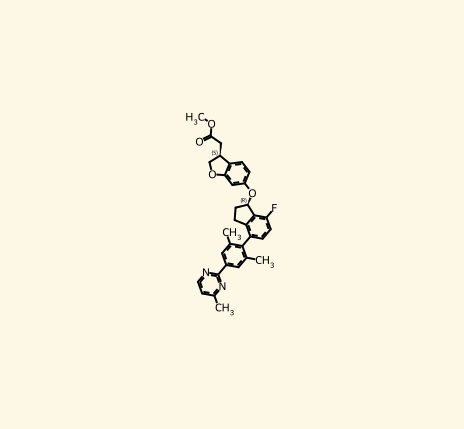 COC(=O)C[C@@H]1COc2cc(O[C@@H]3CCc4c(-c5c(C)cc(-c6nccc(C)n6)cc5C)ccc(F)c43)ccc21